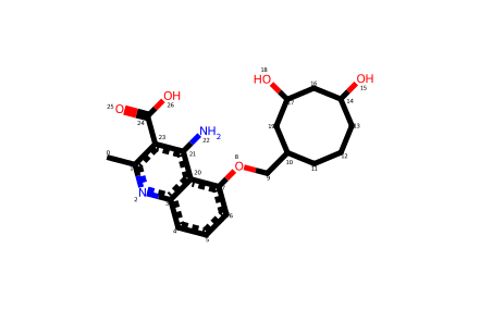 Cc1nc2cccc(OCC3CCCC(O)CC(O)C3)c2c(N)c1C(=O)O